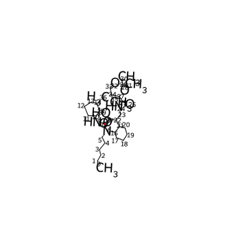 CCCCCCN(C(=O)NC1CCCCC1)C1CCCCC1C(CNC(=O)C1OC(C)(C)OCC1(C)C)C(=O)O